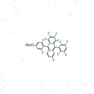 COc1cc(F)c(-c2c3ccc(F)cc3c(-c3c(F)c(F)cc(F)c3F)c3c(F)c(F)c(F)c(F)c23)c(F)c1